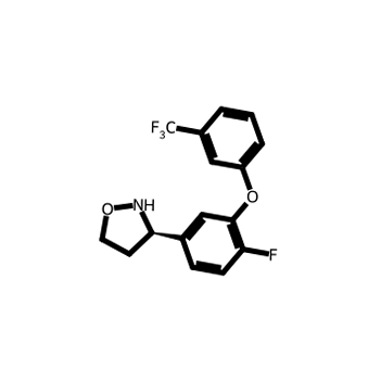 Fc1ccc([C@H]2CCON2)cc1Oc1cccc(C(F)(F)F)c1